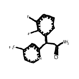 NC(=O)C(c1cc(C(F)(F)F)ccn1)c1cccc(F)c1F